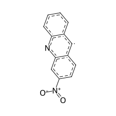 O=[N+]([O-])c1ccc2[c]c3ccccc3nc2c1